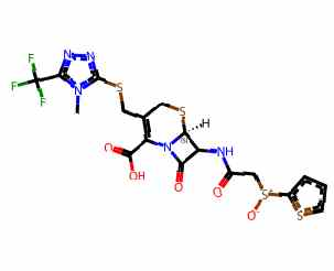 Cn1c(SCC2=C(C(=O)O)N3C(=O)C(NC(=O)C[S+]([O-])c4cccs4)[C@@H]3SC2)nnc1C(F)(F)F